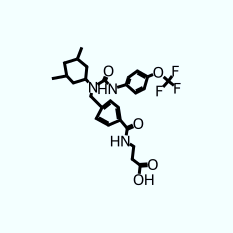 CC1CC(C)CC(N(Cc2ccc(C(=O)NCCC(=O)O)cc2)C(=O)Nc2ccc(OC(F)(F)F)cc2)C1